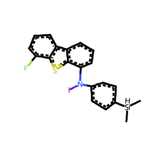 C[SiH](C)c1ccc(N(I)c2cccc3c2sc2c(F)cccc23)cc1